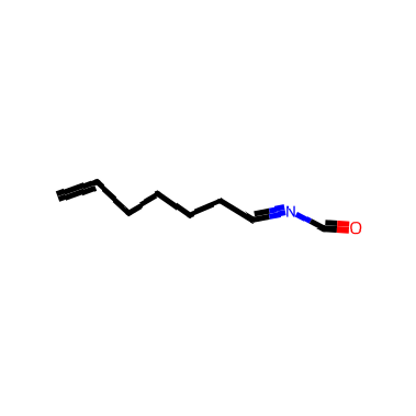 C=CCCCCC=NC=O